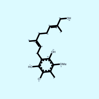 COc1c(C)c(Cl)c(O)c(C/C=C(\C)CC/C=C(\C)CO)c1O